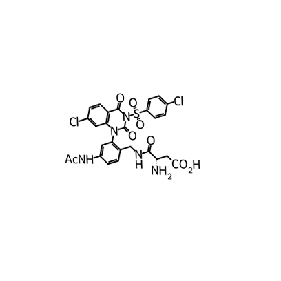 CC(=O)Nc1ccc(CNC(=O)[C@@H](N)CC(=O)O)c(-n2c(=O)n(S(=O)(=O)c3ccc(Cl)cc3)c(=O)c3ccc(Cl)cc32)c1